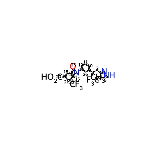 CC(Cc1n[nH]cc1C(F)(F)F)c1cccc(N2Cc3c(cc(C(=O)O)cc3C(F)(F)F)C2=O)c1